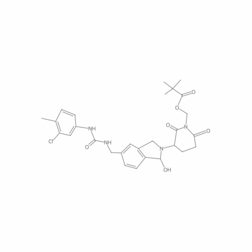 Cc1ccc(NC(=O)NCc2ccc3c(c2)CN(C2CCC(=O)N(COC(=O)C(C)(C)C)C2=O)C3O)cc1Cl